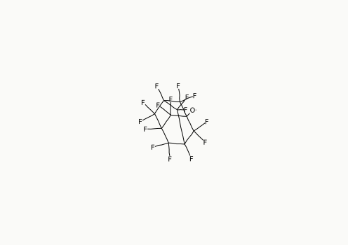 [O]C12C(F)(F)C3(F)C(F)(F)C(F)(C1(F)F)C(F)(F)C(F)(C2(F)F)C3(F)F